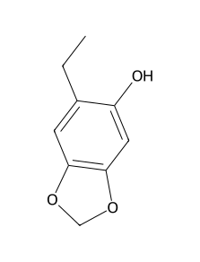 CCc1cc2c(cc1O)OCO2